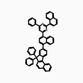 c1ccc(-c2cc(-c3ccc(-c4ccc5c(c4)C(c4ccccc4)(c4ccccc4)c4ccc6ccccc6c4-5)c4ccccc34)nc(-c3cccc4ccccc34)n2)cc1